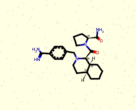 N=C(N)c1ccc(CN2CC[C@@H]3CCCC[C@@H]3[C@@H]2C(=O)N2CCC[C@H]2C(N)=O)cc1